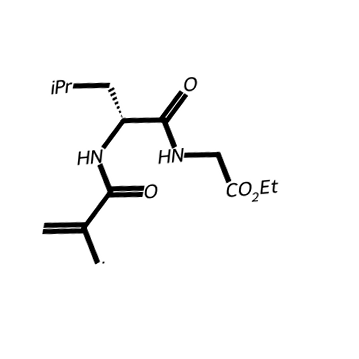 [CH2]C(=C)C(=O)N[C@H](CC(C)C)C(=O)NCC(=O)OCC